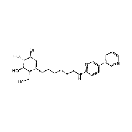 OC[C@@H]1[C@@H](O)[C@H](O)[C@@H](O)CN1CCCCCCNc1ccc(N2C=NC=CC2)cn1